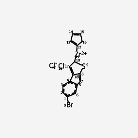 Brc1ccc2c(c1)C=C1S[CH]([Zr+2][C]3=CC=CC3)C=C12.[Cl-].[Cl-]